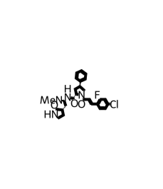 CN[C@H](C[C@@H]1CCNC1=O)NC(=O)[C@@H]1C[C@@H](c2ccccc2)CN1C(=O)/C=C/c1ccc(Cl)cc1F